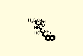 CC(C)C[C@H](NC(=O)C(O)C(N)Cc1ccc2ccccc2c1)C(=O)O